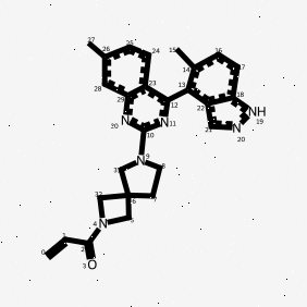 C=CC(=O)N1CC2(CCN(c3nc(-c4c(C)ccc5[nH]ncc45)c4ccc(C)cc4n3)C2)C1